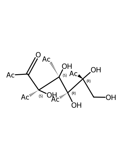 CC(=O)C(=O)[C@@](O)(C(C)=O)[C@](O)(C(C)=O)[C@@](O)(C(C)=O)[C@](O)(CO)C(C)=O